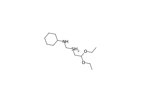 CCOC(C[SiH2]CNC1CCCCC1)OCC